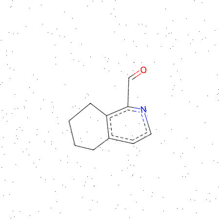 O=Cc1nccc2c1CCCC2